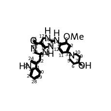 COc1cc(N2CCC(O)CC2)ccc1NC1NCc2c(nc(Cc3c[nH]c4ccccc34)cnc2=O)N1